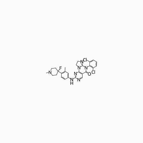 Cc1cc(Nc2ncc3c(n2)N2CCN=C2N(c2c(Cl)cccc2Cl)C3=O)ccc1C1(F)CCN(C)CC1